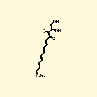 CCCCCCCCCCCCCC=CC=CC=CC(=O)C(O)C(O)CO